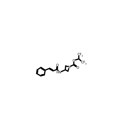 O=C(C=Cc1ccccc1)NC1CN(C(=O)OC(C(F)(F)F)C(F)(F)F)C1